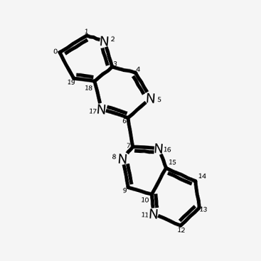 c1cnc2cnc(-c3ncc4ncccc4n3)nc2c1